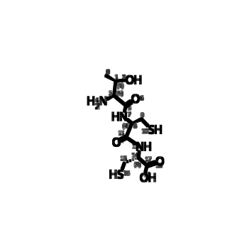 C[C@@H](O)[C@H](N)C(=O)N[C@@H](CS)C(=O)N[C@@H](CS)C(=O)O